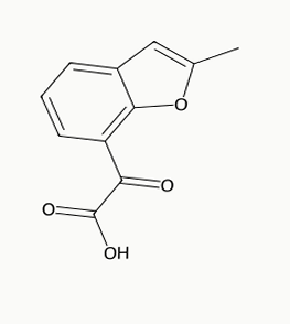 Cc1cc2cccc(C(=O)C(=O)O)c2o1